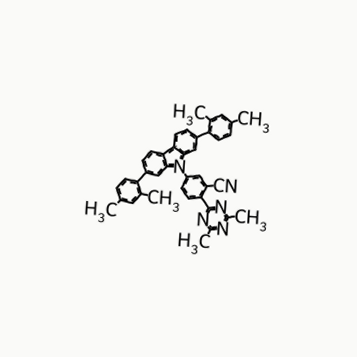 Cc1ccc(-c2ccc3c4ccc(-c5ccc(C)cc5C)cc4n(-c4ccc(-c5nc(C)nc(C)n5)c(C#N)c4)c3c2)c(C)c1